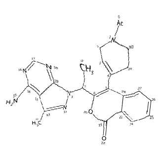 CC(=O)N1CC=C(c2c(C(C)n3nc(C)c4c(N)ncnc43)oc(=O)c3ccccc23)CC1